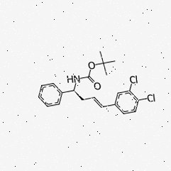 CC(C)(C)OC(=O)N[C@@H](CC=Cc1ccc(Cl)c(Cl)c1)c1ccccc1